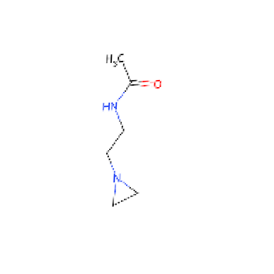 CC(=O)NCCN1CC1